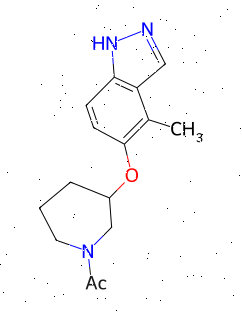 CC(=O)N1CCCC(Oc2ccc3[nH]ncc3c2C)C1